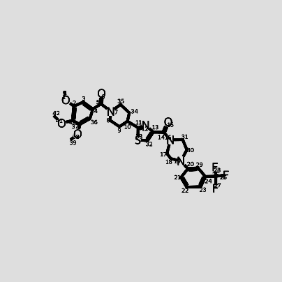 COc1cc(C(=O)N2CCC(c3nc(C(=O)N4CCN(c5cccc(C(F)(F)F)c5)CC4)cs3)CC2)cc(OC)c1OC